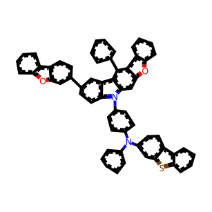 c1ccc(-c2c3c(cc4c2c2cc(-c5ccc6c(c5)oc5ccccc56)ccc2n4-c2ccc(N(c4ccccc4)c4ccc5c(c4)sc4ccccc45)cc2)oc2ccccc23)cc1